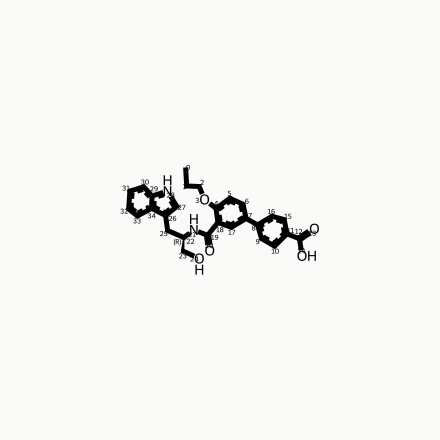 CCCOc1ccc(-c2ccc(C(=O)O)cc2)cc1C(=O)N[C@@H](CO)Cc1c[nH]c2ccccc12